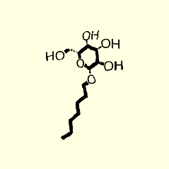 CCCCCCCO[C@@H]1O[C@H](CO)[C@H](O)[C@H](O)[C@H]1O